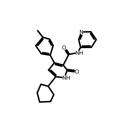 Cc1ccc(-c2cc(C3CCCCC3)[nH]c(=O)c2C(=O)Nc2cccnc2)cc1